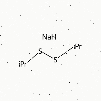 CC(C)SSC(C)C.[NaH]